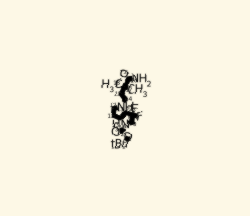 CC(C)(C)OC(=O)N1CC(F)(F)[C@H]2[C@@H]1CCN2CCC(C)(C)C(N)=O